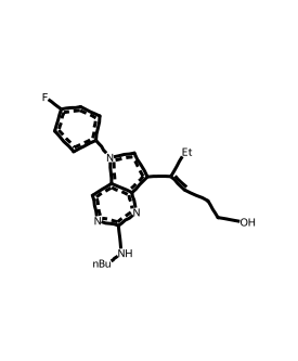 CCCCNc1ncc2c(n1)c(C(=CCCO)CC)cn2-c1ccc(F)cc1